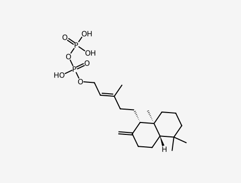 C=C1CC[C@H]2C(C)(C)CCC[C@]2(C)[C@H]1CC/C(C)=C/COP(=O)(O)OP(=O)(O)O